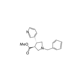 COC(=O)[C@@H]1CN(Cc2ccccc2)C[C@H]1c1cccnc1